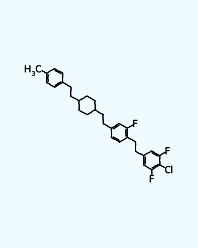 Cc1ccc(CCC2CCC(CCc3ccc(CCc4cc(F)c(Cl)c(F)c4)c(F)c3)CC2)cc1